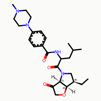 CC[C@@H]1CN(C(=O)C(CC(C)C)NC(=O)c2ccc(N3CCN(C)CC3)cc2)[C@@H]2C(=O)CO[C@H]12